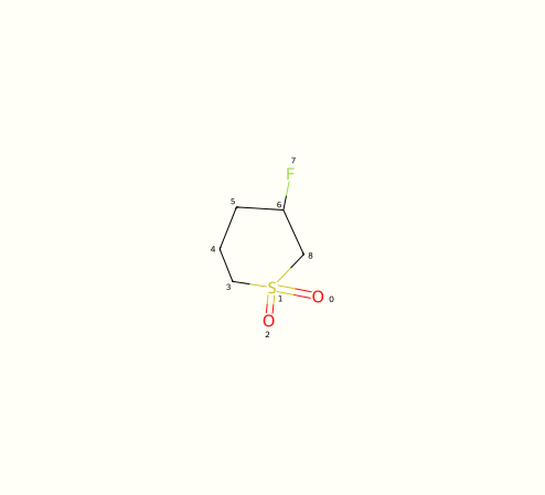 O=S1(=O)CCCC(F)C1